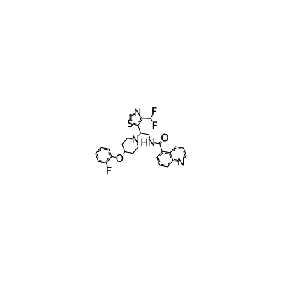 O=C(NCC(c1scnc1C(F)F)N1CCC(Oc2ccccc2F)CC1)c1cccc2ncccc12